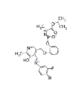 Cc1ncc(COc2ccccc2O[P+]([O-])=N[C@H](C)C(=O)OC(C)C)c(/C=N/c2ccc(Br)c(F)c2)c1O